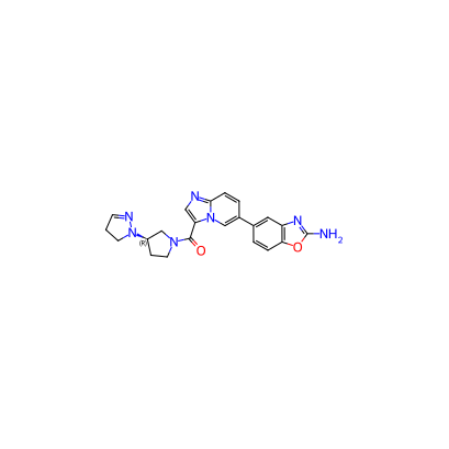 Nc1nc2cc(-c3ccc4ncc(C(=O)N5CC[C@@H](N6CCC=N6)C5)n4c3)ccc2o1